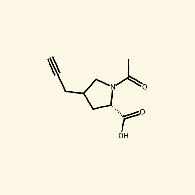 C#CCC1C[C@@H](C(=O)O)N(C(C)=O)C1